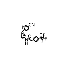 CC1C(F)(F)[C@@]1(F)c1ccc(CC(=O)Nc2ccn(Cc3ccc(C#N)cn3)n2)cc1